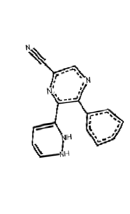 N#Cc1cnc(-c2ccccc2)c(C2=CC=CNN2)n1